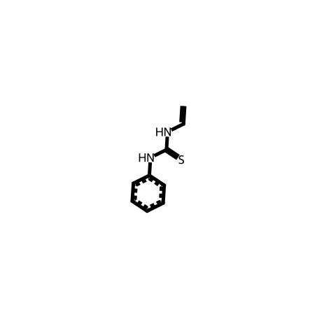 C=CNC(=S)Nc1ccccc1